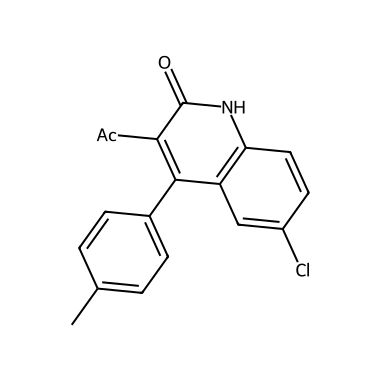 CC(=O)c1c(-c2ccc(C)cc2)c2cc(Cl)ccc2[nH]c1=O